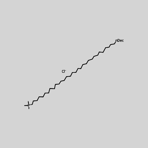 CCCCCCCCCCCCCCCCCCCCCCCCCCCCCCCCCCCCCCCCC[P+](C)(C)C.[Cl-]